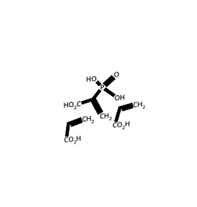 C=C(C(=O)O)P(=O)(O)O.C=CC(=O)O.C=CC(=O)O